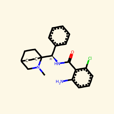 CN1CC2CCC1([C@H](NC(=O)c1c(N)cccc1Cl)c1ccccc1)CC2